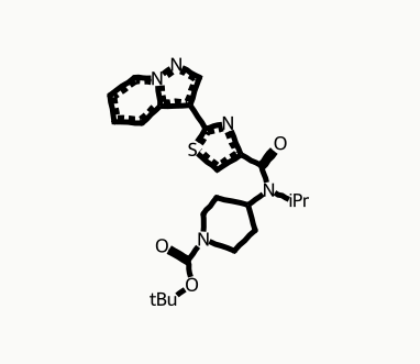 CC(C)N(C(=O)c1csc(-c2cnn3ccccc23)n1)C1CCN(C(=O)OC(C)(C)C)CC1